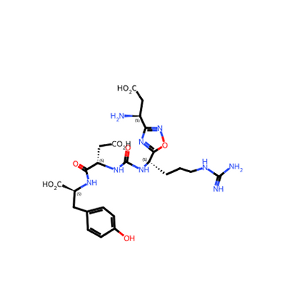 N=C(N)NCCC[C@H](NC(=O)N[C@@H](CC(=O)O)C(=O)N[C@@H](Cc1ccc(O)cc1)C(=O)O)c1nc([C@@H](N)CC(=O)O)no1